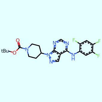 CC(C)(C)OC(=O)N1CCC(n2ncc3c(Nc4cc(F)c(F)cc4F)ncnc32)CC1